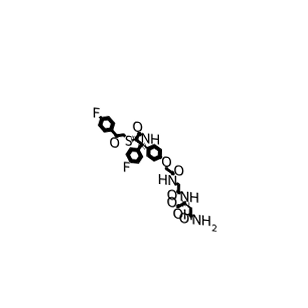 NC(=O)C[C@H](NC(=O)CNC(=O)COc1ccc([C@]2(c3ccc(F)cc3)NC(=O)[C@@H]2SCC(=O)c2ccc(F)cc2)cc1)C(=O)O